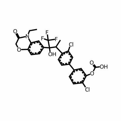 CCN1C(=O)COc2ccc(C(O)(C(C)c3ccc(-c4ccc(Cl)c(OC(=O)O)c4)cc3Cl)C(F)(F)F)cc21